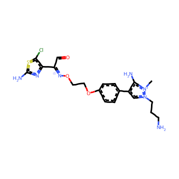 C[n+]1c(N)c(-c2ccc(OCCO/N=C(\C=O)c3nc(N)sc3Cl)cc2)cn1CCCN